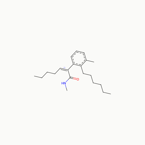 CCCC/C=C(\C(=O)NC)c1cccc(C)c1CCCCCC